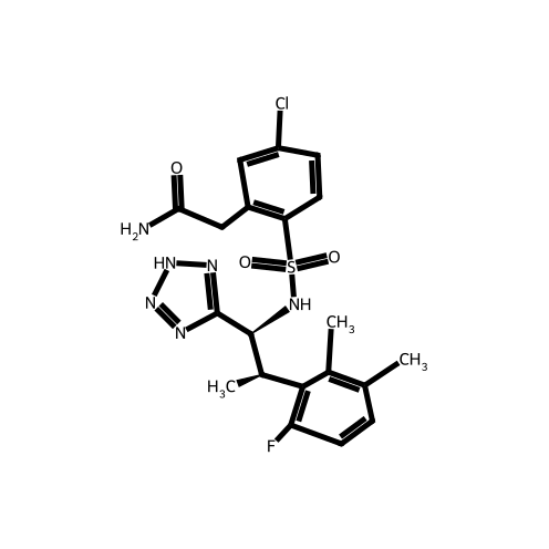 Cc1ccc(F)c([C@@H](C)[C@H](NS(=O)(=O)c2ccc(Cl)cc2CC(N)=O)c2nn[nH]n2)c1C